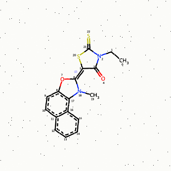 CCN1C(=O)/C(=C2/Oc3ccc4ccccc4c3N2C)SC1=S